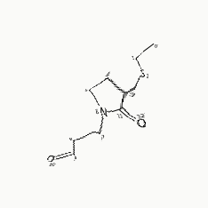 CCSC1CCN(CCC=O)C1=O